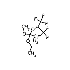 CCOC(C)(OC)O[C](C(F)(F)F)C(F)(F)F